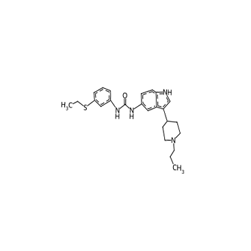 CCCN1CCC(c2c[nH]c3ccc(NC(=O)Nc4cccc(SCC)c4)cc23)CC1